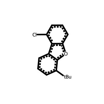 CC(C)(C)c1cccc2c1oc1cccc(Cl)c12